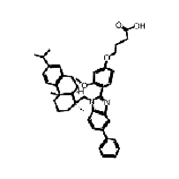 COc1cc(OCCCC(=O)O)ccc1-c1nc2cc(-c3ccccc3)ccc2n1C[C@@]1(C)CCC[C@]2(C)c3ccc(C(C)C)cc3CC[C@@H]12